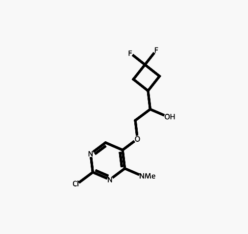 CNc1nc(Cl)ncc1OCC(O)C1CC(F)(F)C1